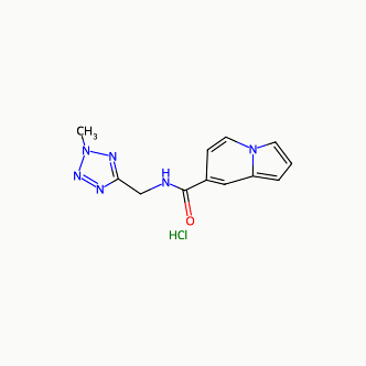 Cl.Cn1nnc(CNC(=O)c2ccn3cccc3c2)n1